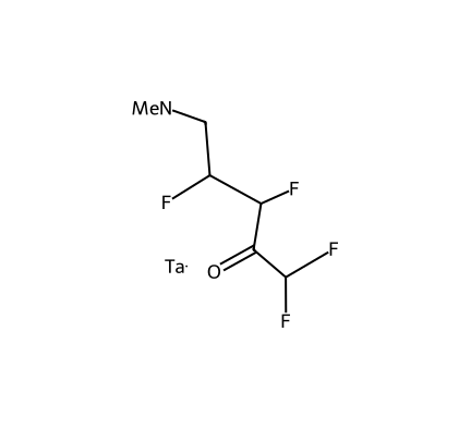 CNCC(F)C(F)C(=O)C(F)F.[Ta]